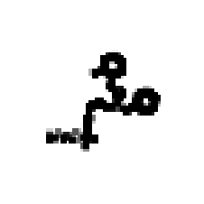 COC(C)(C)C#C/C=C\CN(Cc1ccccc1)OCc1ccccc1C